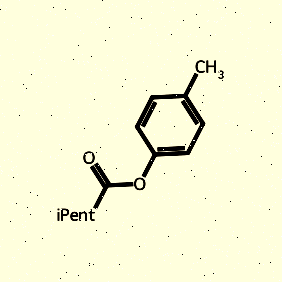 CCCC(C)C(=O)Oc1ccc(C)cc1